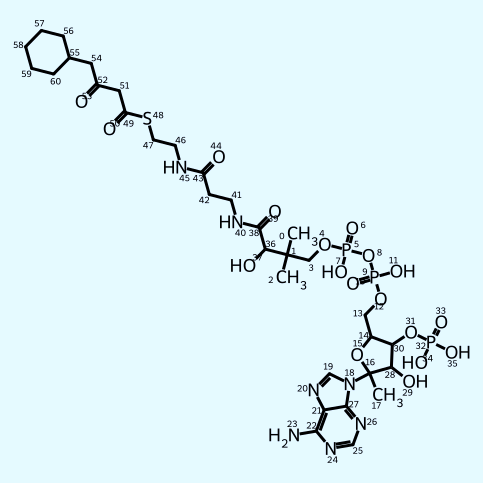 CC(C)(COP(=O)(O)OP(=O)(O)OCC1OC(C)(n2cnc3c(N)ncnc32)C(O)C1OP(=O)(O)O)C(O)C(=O)NCCC(=O)NCCSC(=O)CC(=O)CC1CCCCC1